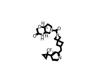 O=C1CO[C@H]2CCN(C(=O)N3CC4(CC(Cc5cc(C6(C(F)(F)F)CC6)ccn5)C4)C3)C[C@H]2N1